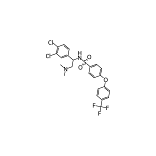 CN(C)CC(NS(=O)(=O)c1ccc(Oc2ccc(C(F)(F)F)cc2)cc1)c1ccc(Cl)c(Cl)c1